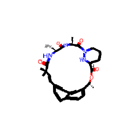 CC(C)[C@@H]1NC(=O)C(C)(C)/C=C/c2ccc3ccc(cc3c2)[C@@H](C)OC(=O)[C@@H]2CCCN(N2)C(=O)[C@H](C)NC1=O